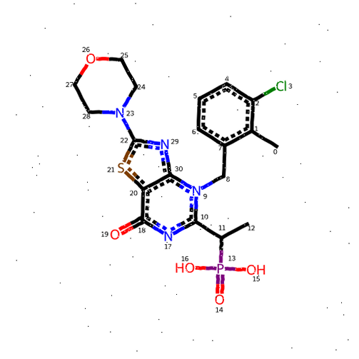 Cc1c(Cl)cccc1Cn1c(C(C)P(=O)(O)O)nc(=O)c2sc(N3CCOCC3)nc21